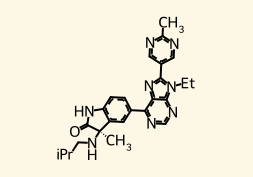 CCn1c(-c2cnc(C)nc2)nc2c(-c3ccc4c(c3)[C@@](C)(NCC(C)C)C(=O)N4)ncnc21